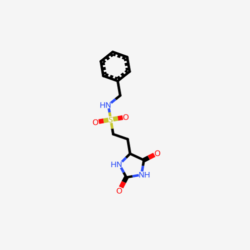 O=C1NC(=O)C(CCS(=O)(=O)NCc2ccccc2)N1